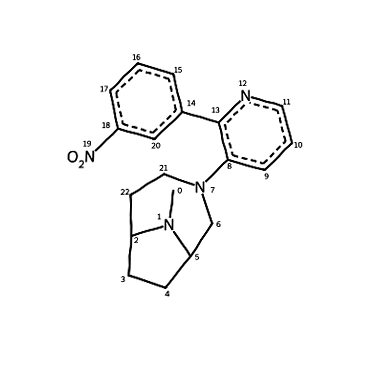 CN1C2CCC1CN(c1cccnc1-c1cccc([N+](=O)[O-])c1)CC2